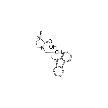 CC(O)(CN1CC[C@@H](F)C1=O)Cn1c2ccccc2c2ccccc21